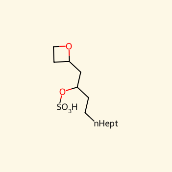 CCCCCCCCCC(CC1CCO1)OS(=O)(=O)O